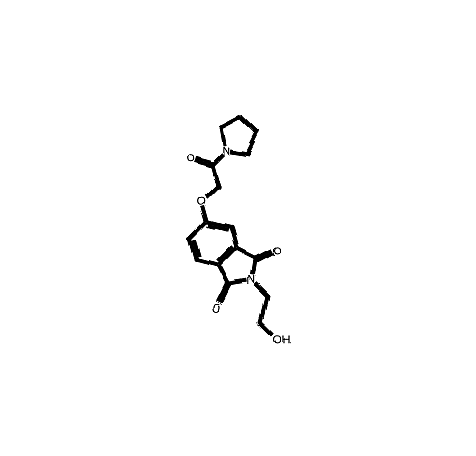 O=C(COc1ccc2c(c1)C(=O)N(CCO)C2=O)N1CCCC1